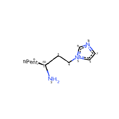 CCCCC[C@H](N)CCn1ccnc1